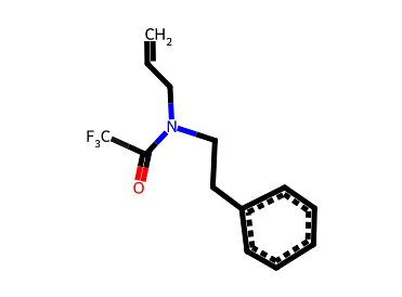 C=CCN(CCc1ccccc1)C(=O)C(F)(F)F